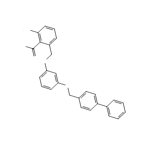 Cc1cccc(COc2cccc(OCc3ccc(-c4ccccc4)cc3)c2)c1C(=O)O